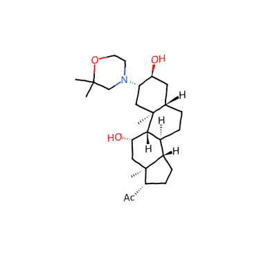 CC(=O)[C@H]1CC[C@H]2[C@@H]3CC[C@H]4C[C@H](O)[C@@H](N5CCOC(C)(C)C5)C[C@]4(C)[C@H]3[C@@H](O)C[C@]12C